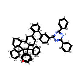 c1ccc(-c2nc(-c3ccccc3)nc(-c3cccc(-c4ccccc4-c4ccc5c(c4)-c4ccccc4C(c4ccccc4)(c4ccccc4)C5(c4ccccc4)c4ccccc4)c3)n2)cc1